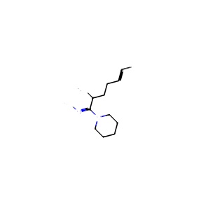 CCC=CCCC(C#N)C(=NC#N)N1CCCCC1